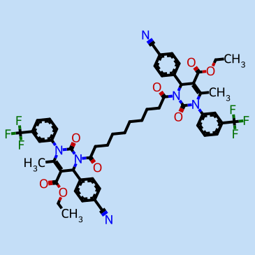 CCOC(=O)C1=C(C)N(c2cccc(C(F)(F)F)c2)C(=O)N(C(=O)CCCCCCCCC(=O)N2C(=O)N(c3cccc(C(F)(F)F)c3)C(C)=C(C(=O)OCC)C2c2ccc(C#N)cc2)C1c1ccc(C#N)cc1